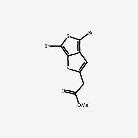 COC(=O)Cc1cc2c(Br)sc(Br)c2s1